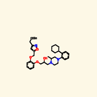 COCc1cc(COc2ccccc2OCC(O)CN2CCN(c3ccccc3C3CCCCC3)CC2C)on1